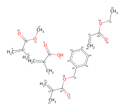 C=C(C)C(=O)O.C=C(C)C(=O)OC.C=C(C)C(=O)OCc1ccccc1.C=CC(=O)OCC